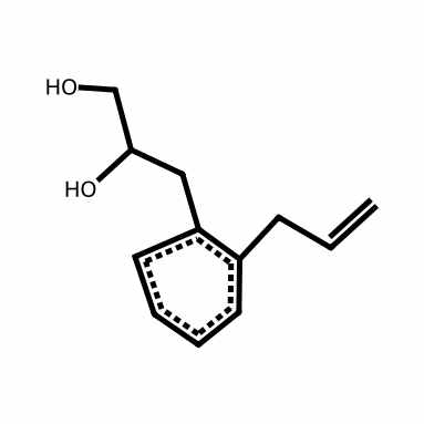 C=CCc1ccccc1CC(O)CO